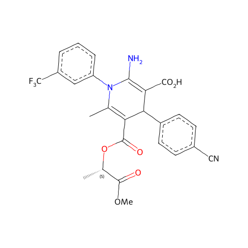 COC(=O)[C@H](C)OC(=O)C1=C(C)N(c2cccc(C(F)(F)F)c2)C(N)=C(C(=O)O)C1c1ccc(C#N)cc1